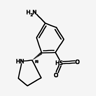 Nc1ccc([SH](=O)=O)c([C@@H]2CCCN2)c1